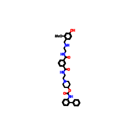 COc1cc(O)ccc1CNCCNC(=O)c1cccc(C(=O)NCCN2CCC(OC(=O)Nc3ccccc3-c3ccccc3)CC2)c1